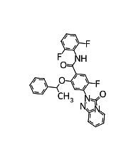 CC(Oc1cc(-n2nc3ccccn3c2=O)c(F)cc1C(=O)Nc1c(F)cccc1F)c1ccccc1